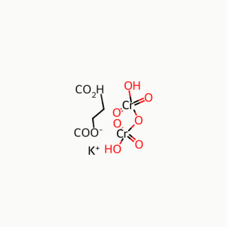 O=C([O-])CCC(=O)O.[K+].[O]=[Cr](=[O])([OH])[O][Cr](=[O])(=[O])[OH]